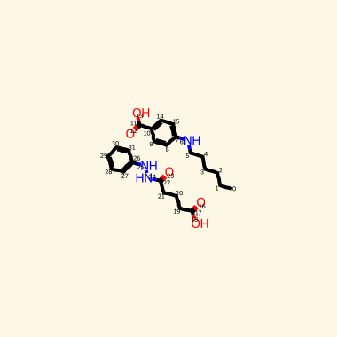 CCCCCCNc1ccc(C(=O)O)cc1.O=C(O)CCCC(=O)NNc1ccccc1